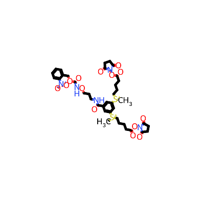 C[S+](CCCCC(=O)ON1C(=O)CCC1=O)c1cc(C(=O)NCCCONC(=O)OCc2ccccc2[N+](=O)[O-])cc([S+](C)CCCCC(=O)ON2C(=O)CCC2=O)c1